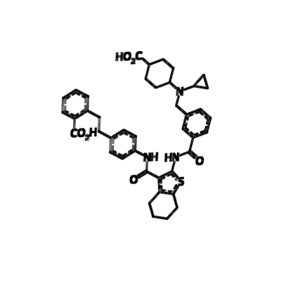 O=C(Nc1sc2c(c1C(=O)Nc1ccc(CCc3ccccc3C(=O)O)cc1)CCCC2)c1cccc(CN(C2CCC(C(=O)O)CC2)C2CC2)c1